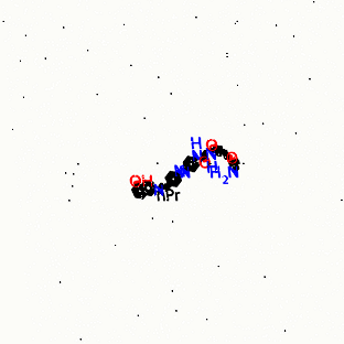 CCCN(CCc1ccc(/N=N/c2ccc(NC(=O)CNC(=O)C(C)(C)CCOC(C)(C)CN)cc2)cc1)C1CCc2c(O)cccc2C1